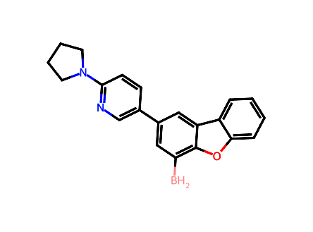 Bc1cc(-c2ccc(N3CCCC3)nc2)cc2c1oc1ccccc12